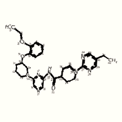 CCOc1ccccc1O[C@@H]1CCCN(c2cncc(NC(=O)C3CCN(c4ncc(CC)cn4)CC3)n2)C1